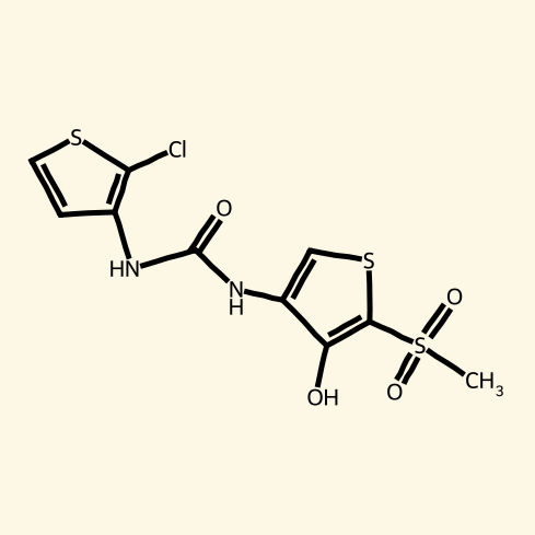 CS(=O)(=O)c1scc(NC(=O)Nc2ccsc2Cl)c1O